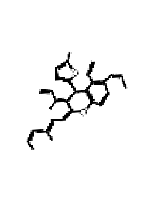 C=C/C(C)=C1/C(=C\C=C(C)\C=C/C)Oc2ccc(/C=C\C)c(C=C)c2C1c1ccc(C)o1